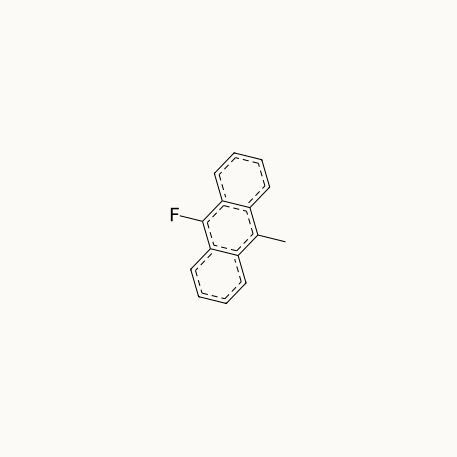 Cc1c2ccccc2c(F)c2ccccc12